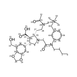 CCCCN(C(=O)CN1C[C@H](c2cc(CO)c3c(c2)OCO3)[C@@H](C(=O)O)[C@@H]1CCN(C)C(C)=O)c1cccc(C[N+](C)(C)C)c1